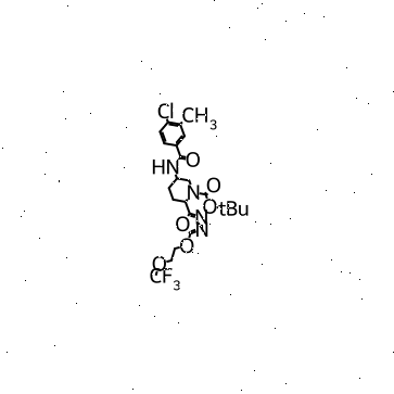 Cc1cc(C(=O)NC2CCC(c3nnc(OCCOC(F)(F)F)o3)N(C(=O)OC(C)(C)C)C2)ccc1Cl